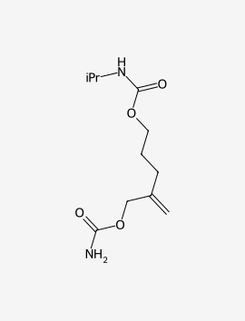 C=C(CCCOC(=O)NC(C)C)COC(N)=O